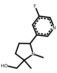 CN1C(c2cncc(F)c2)CCC1(C)CO